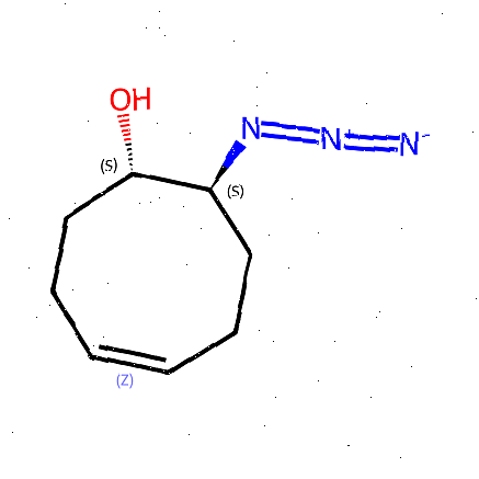 [N-]=[N+]=N[C@H]1CC/C=C\CC[C@@H]1O